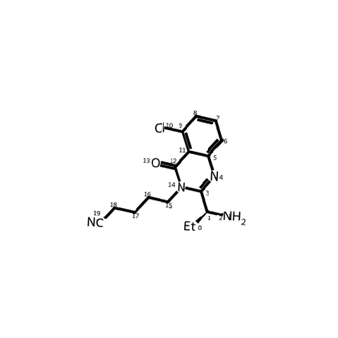 CC[C@H](N)c1nc2cccc(Cl)c2c(=O)n1CCCCC#N